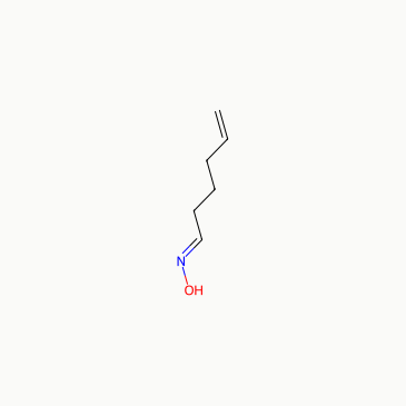 C=CCCCC=NO